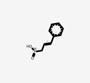 O=[PH](O)C/C=C/c1ccccc1